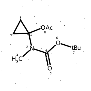 CC(=O)OC1(N(C)C(=O)OC(C)(C)C)CC1